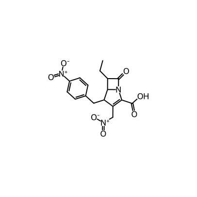 CCC1C(=O)N2C(C(=O)O)=C(C[N+](=O)[O-])C(Cc3ccc([N+](=O)[O-])cc3)C12